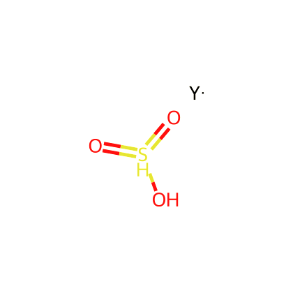 O=[SH](=O)O.[Y]